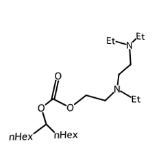 CCCCCCC(CCCCCC)OC(=O)OCCN(CC)CCN(CC)CC